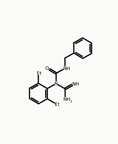 CCc1cccc(CC)c1N(C(=N)N)C(=O)NCc1ccccc1